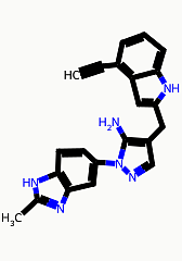 C#Cc1cccc2[nH]c(Cc3cnn(-c4ccc5[nH]c(C)nc5c4)c3N)cc12